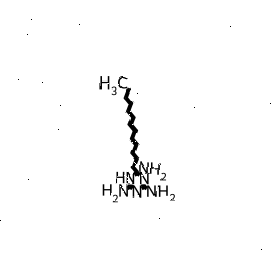 CCCCCCCCCCCCCC1(N)N=C(N)N=C(N)N1